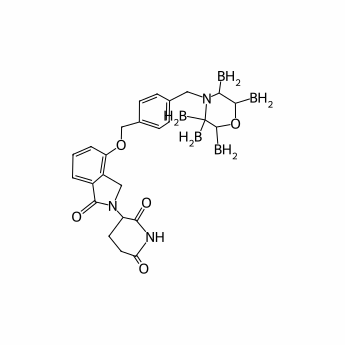 BC1OC(B)C(B)(B)N(Cc2ccc(COc3cccc4c3CN(C3CCC(=O)NC3=O)C4=O)cc2)C1B